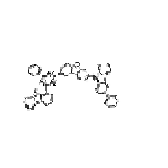 c1ccc(-c2ccc3c(c2)c2ccccc2n3-c2ccc3c(c2)oc2ccc(-c4nc(-c5ccccc5)nc(-c5cccc6c5sc5ccccc56)n4)cc23)cc1